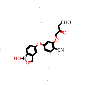 N#Cc1ccc(Oc2ccc3c(c2)COB3O)cc1OCC(=O)CC=O